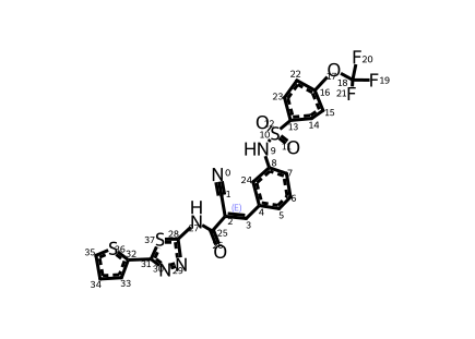 N#C/C(=C\c1cccc(NS(=O)(=O)c2ccc(OC(F)(F)F)cc2)c1)C(=O)Nc1nnc(-c2cccs2)s1